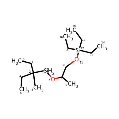 CCC(C)(CC)[SiH2]OC(C)CO[Si](CC)(CC)CC